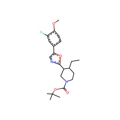 CCC1CCN(C(=O)OC(C)(C)C)CC1c1ncc(-c2ccc(OC)c(F)c2)o1